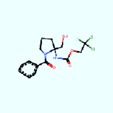 O=C(NC1(CO)CCCN1C(=O)c1ccccc1)OCC(Cl)(Cl)Cl